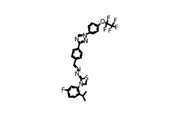 CC(C)c1ccc(F)cc1N1CS/C1=N\N=C\c1ccc(-c2ncn(-c3ccc(OC(F)(F)C(F)(F)F)cc3)n2)cc1